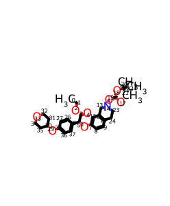 CCOC(=O)C(Oc1ccc2c(c1)CN(OC(=O)OC(C)(C)C)CC2)c1ccc(OC2CCOCC2)cc1